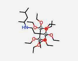 CCO[Si](OCC)(OCC)C(CCNC(C)CC(C)C)([Si](OCC)(OCC)OCC)[Si](OCC)(OCC)OCC